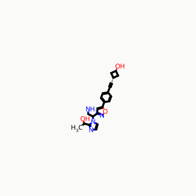 CC(O)c1nccn1C(CN)c1cc(-c2ccc(C#C[C@H]3C[C@H](O)C3)cc2)on1